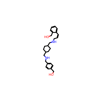 OCc1ccc(CNCC2CCC(CNC/C=C\c3ccccc3CO)CC2)cc1